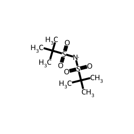 CC(C)(C)S(=O)(=O)[N]S(=O)(=O)C(C)(C)C